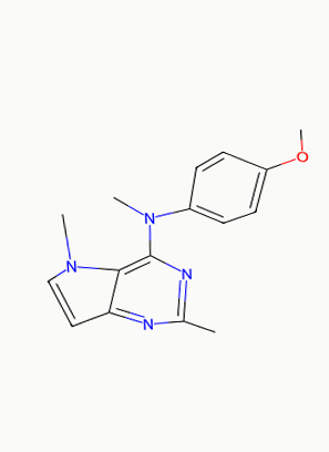 COc1ccc(N(C)c2nc(C)nc3ccn(C)c23)cc1